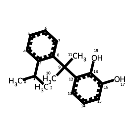 CC(C)c1ccccc1C(C)(C)c1cccc(O)c1O